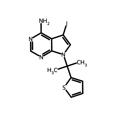 CC(C)(c1cccs1)n1cc(I)c2c(N)ncnc21